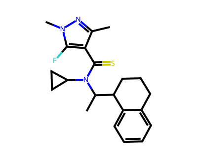 Cc1nn(C)c(F)c1C(=S)N(C1CC1)C(C)C1CCCc2ccccc21